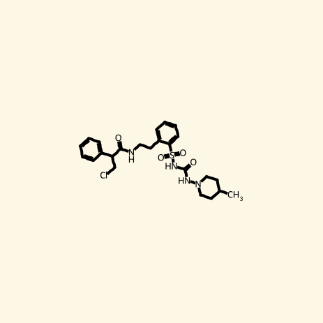 CC1CCN(NC(=O)NS(=O)(=O)c2ccccc2CCNC(=O)C(CCl)c2ccccc2)CC1